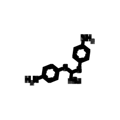 CCCCC(Sc1ccc(N)cc1)Sc1ccc(N)cc1